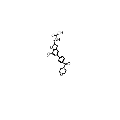 COc1cc(-c2ccc(C(=O)N3CCOCC3)cc2)cc2c1OC(CNC(=O)O)C2